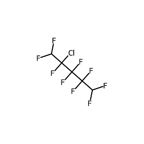 FC(F)C(F)(F)C(F)(F)C(F)(Cl)C(F)F